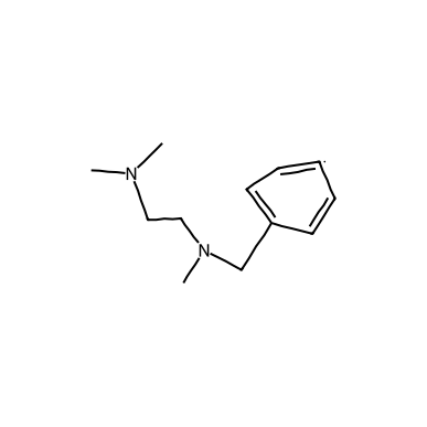 CN(C)CCN(C)Cc1cc[c]cc1